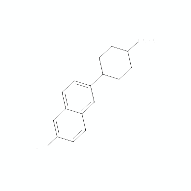 CCCCCCCCC1CCC(c2ccc3cc(C(F)(F)F)ccc3c2)CC1